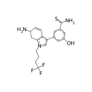 NC(=S)c1cc(O)cc(-c2cn(CCCC(F)(F)F)c3c2C=CC(N)C3)c1